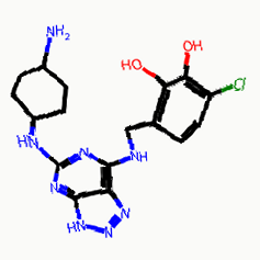 NC1CCC(Nc2nc(NCc3ccc(Cl)c(O)c3O)c3nn[nH]c3n2)CC1